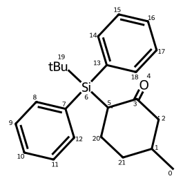 CC1[CH]C(=O)[C]([Si](c2ccccc2)(c2ccccc2)C(C)(C)C)CC1